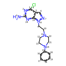 Nc1nc(Cl)c2cnn(CCN3CCN(c4ccccc4)CC3)c2n1